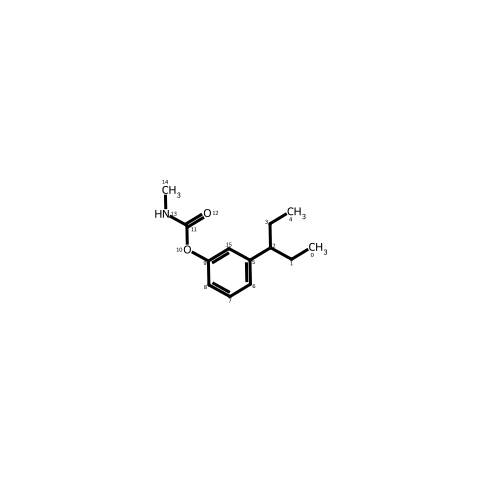 CCC(CC)c1cccc(OC(=O)NC)c1